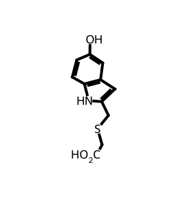 O=C(O)CSCc1cc2cc(O)ccc2[nH]1